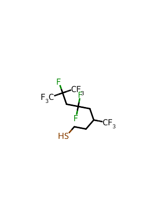 FC(F)(CC(CCS)C(F)(F)F)CC(F)(C(F)(F)F)C(F)(F)F